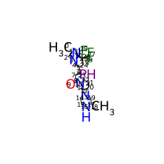 Cc1cn2cc(C3=CC(=O)N4C=C(N5CCN[C@@H](C)C5)C=CC4P3)cc(C(F)(F)F)c2n1